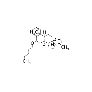 CCCCCOC1C[C@H]2[C@@H]3CC[C@H](CC)[C@@]3(C)CC[C@@H]2[C@@]2(C)C=CCC=C12